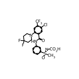 CS(=O)(=NC(=O)O)c1cccc(NC(=O)c2cc(Cl)c(C(F)(F)F)cc2N2CCC(F)(F)CC2)c1